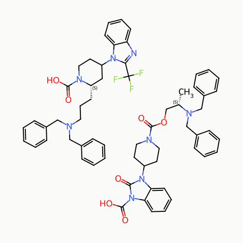 C[C@@H](COC(=O)N1CCC(n2c(=O)n(C(=O)O)c3ccccc32)CC1)N(Cc1ccccc1)Cc1ccccc1.O=C(O)N1CCC(n2c(C(F)(F)F)nc3ccccc32)C[C@@H]1CCCN(Cc1ccccc1)Cc1ccccc1